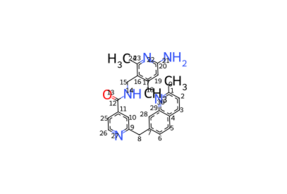 Cc1ccc2ccc(Cc3cc(C(=O)NCc4c(C)cc(N)nc4C)ccn3)cc2n1